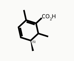 CC1=C(C(=O)O)C(C)[C@@H](C)C=C1